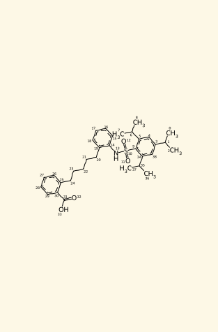 CC(C)c1cc(C(C)C)c(S(=O)(=O)Nc2ccccc2CCCCCc2ccccc2C(=O)O)c(C(C)C)c1